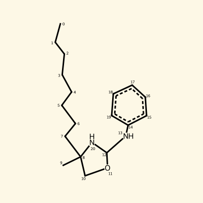 CCCCCCCCC1(C)COC(Nc2ccccc2)N1